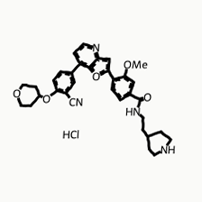 COc1cc(C(=O)NCCC2CCNCC2)ccc1-c1cc2nccc(-c3ccc(OC4CCOCC4)c(C#N)c3)c2o1.Cl